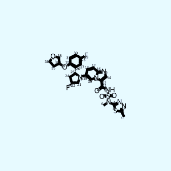 Cc1nnc(N(C)S(=O)(=O)NC(=O)c2cnc3ccc(N4C[C@@H](F)C[C@@H]4c4cc(F)ccc4OC4CCOC4)cn23)s1